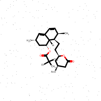 CCC(C)(C)C(=O)O[C@@H]1C[C@H](C)C=C2C=C[C@@H](C)[C@@H](CC[C@@H]3C[C@H](OC(C)=O)CC(=O)O3)[C@@H]21